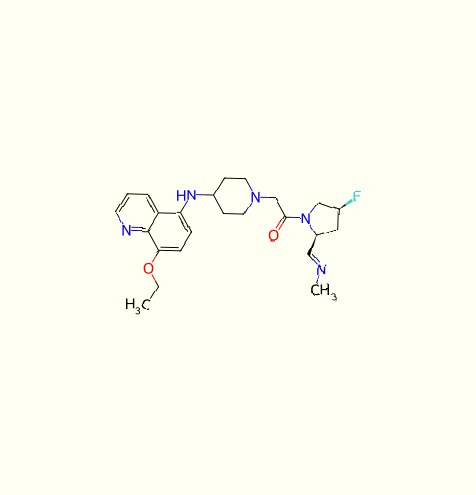 CCOc1ccc(NC2CCN(CC(=O)N3C[C@@H](F)C[C@H]3C=NC)CC2)c2cccnc12